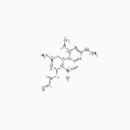 COc1ccc(C(CC(N)=O)C(CCOC=O)[N+](=O)[O-])c(OC)c1